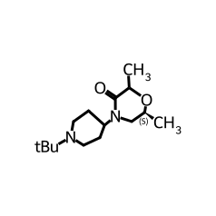 CC1O[C@@H](C)CN(C2CCN(C(C)(C)C)CC2)C1=O